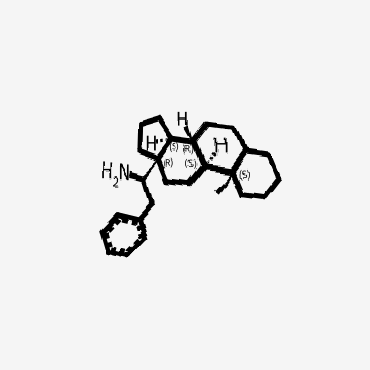 C[C@]12CCCCC1CC[C@H]1[C@@H]3CCC[C@@]3(C(N)Cc3ccccc3)CC[C@@H]12